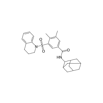 Cc1cc(C(=O)NC2C3CC4CC(C3)CC2C4)cc(S(=O)(=O)N2CCCc3ccccc32)c1C